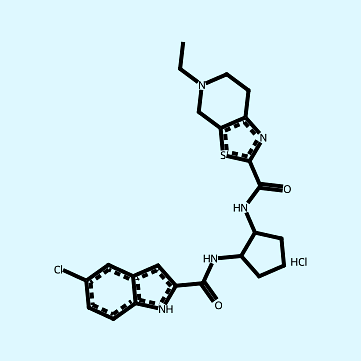 CCN1CCc2nc(C(=O)NC3CCCC3NC(=O)c3cc4cc(Cl)ccc4[nH]3)sc2C1.Cl